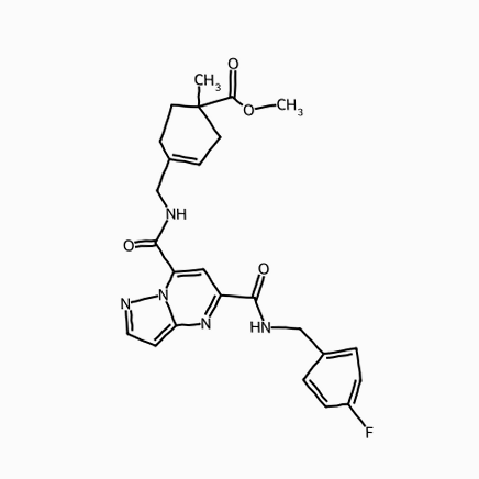 COC(=O)C1(C)CC=C(CNC(=O)c2cc(C(=O)NCc3ccc(F)cc3)nc3ccnn23)CC1